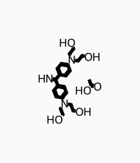 CC(=O)O.N=C(c1ccc(N(CCO)CCO)cc1)c1ccc(N(CCO)CCO)cc1